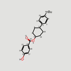 CCCCc1ccc(C2CCC(OC(=O)c3ccc([O])cc3)CC2)cc1